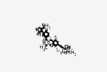 CC(=O)N(C)N(Cc1ccc(C#CC(C)(C)S(C)(=O)=O)cc1F)C(=O)c1ccc2nc(N)c3cnn(C)c3c2c1